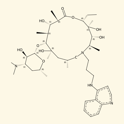 CC[C@H]1OC(=O)[C@H](C)[C@@H](O)[C@H](C)[C@@H](O[C@@H]2O[C@H](C)C[C@H](N(C)C)[C@H]2O)[C@](C)(O)C[C@@H](C)CN(CCCNc2ccnc3ccccc23)[C@H](C)[C@@H](O)[C@]1(C)O